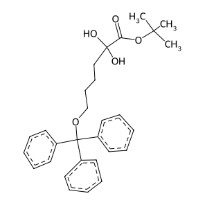 CC(C)(C)OC(=O)C(O)(O)CCCCOC(c1ccccc1)(c1ccccc1)c1ccccc1